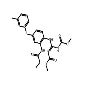 CCC(=O)Nc1cc(Sc2cccc(C)c2)ccc1NC(=NC(=O)OC)NC(=O)OC